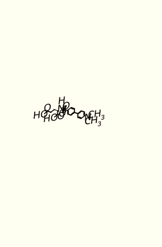 CN(C)c1ccc(-c2ccc(S(=O)(=O)N[C@H](CCC(=O)O)C(=O)O)cc2)cc1